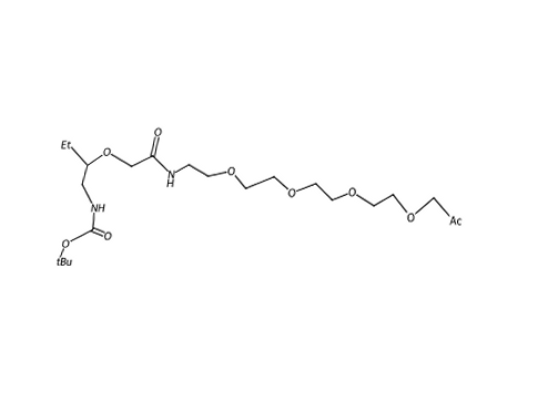 CCC(CNC(=O)OC(C)(C)C)OCC(=O)NCCOCCOCCOCCOCC(C)=O